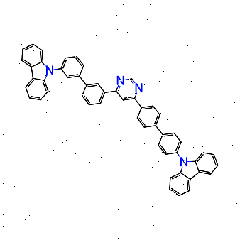 c1cc(-c2cccc(-n3c4ccccc4c4ccccc43)c2)cc(-c2cc(-c3ccc(-c4ccc(-n5c6ccccc6c6ccccc65)cc4)cc3)ncn2)c1